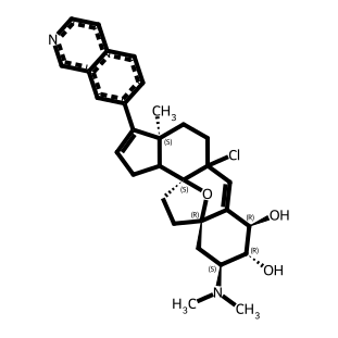 CN(C)[C@H]1C[C@@]23CC[C@]4(O2)C2CC=C(c5ccc6ccncc6c5)[C@@]2(C)CCC4(Cl)C=C3[C@@H](O)[C@@H]1O